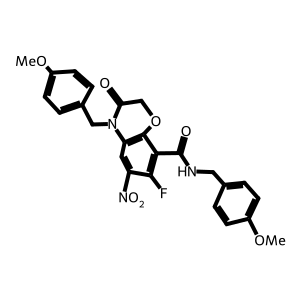 COc1ccc(CNC(=O)c2c(F)c([N+](=O)[O-])cc3c2OCC(=O)N3Cc2ccc(OC)cc2)cc1